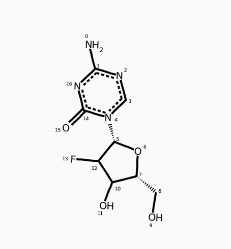 Nc1ncn([C@@H]2O[C@H](CO)C(O)C2F)c(=O)n1